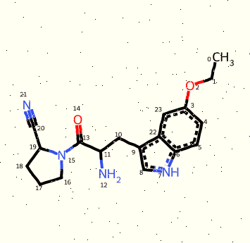 CCOc1ccc2[nH]cc(CC(N)C(=O)N3CCCC3C#N)c2c1